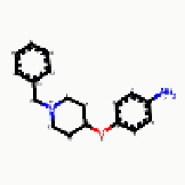 Nc1ccc(OC2CCN(Cc3ccccc3)CC2)cc1